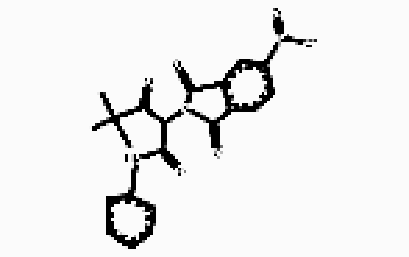 CC(C)(C)C(=O)C(C(=O)Nc1ccccc1)N1C(=O)c2ccc([N+](=O)[O-])cc2C1=O